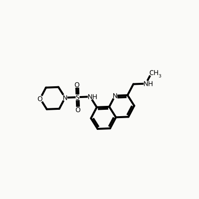 CNCc1ccc2cccc(NS(=O)(=O)N3CCOCC3)c2n1